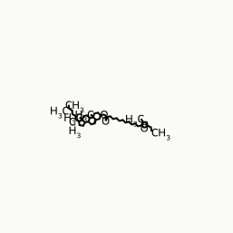 CCCc1cc(C)c(CCCCCCCCCCC(=O)OC2CCC3(C)C(=CCC4C3CCC3(C)C(C(C)CCCC(C)C)CCC43)C2)o1